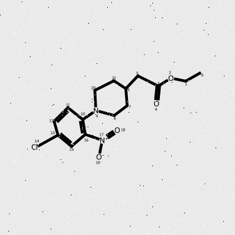 CCOC(=O)CC1CCN(c2ccc(Cl)cc2[N+](=O)[O-])CC1